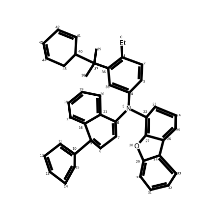 CCc1ccc(N(c2ccc(-c3ccccc3)c3ccccc23)c2cccc3c2oc2ccccc23)cc1C(C)(C)C1C=CC=CC1